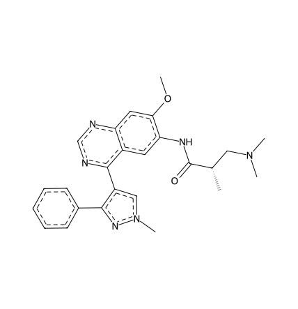 COc1cc2ncnc(-c3cn(C)nc3-c3ccccc3)c2cc1NC(=O)[C@@H](C)CN(C)C